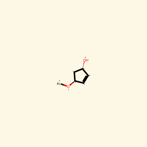 CC(=O)O[C@@H]1C=C[C@@H](O)C1